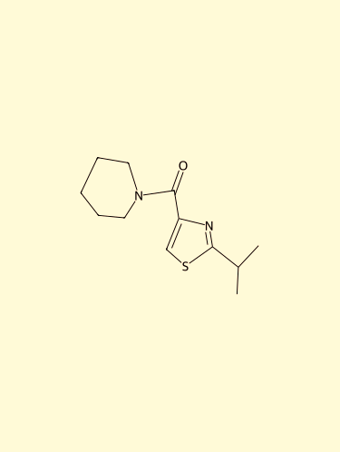 CC(C)c1nc(C(=O)N2CCCCC2)cs1